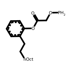 CCCCCCCCCCc1ccccc1OC(=O)COP